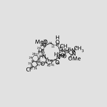 COc1nn(C)cc1C(=O)NC1[C@@H](C)[C@H](O)/C=C/[C@H](OC)[C@@H]2CC[C@H]2CN2C[C@@]3(CCCc4cc(Cl)ccc43)COc3ccc(cc32)C(=O)/N=[SH]\1=O